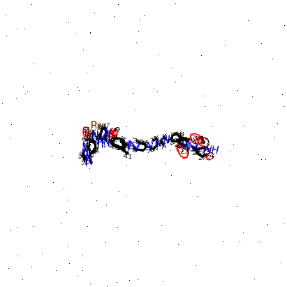 COc1cc(N2CCC(N3CCN(C4CN(c5ccc6c(c5)C(=O)N(C5CCC(=O)NC5=O)C6=O)C4)CC3)CC2)c(C)cc1Nc1ncc(Br)c(Nc2ccc3nccnc3c2P(C)(C)=O)n1